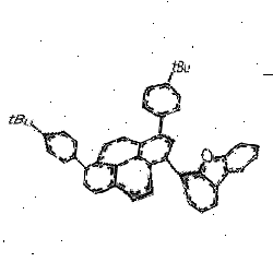 CC(C)(C)c1ccc(-c2ccc3ccc4c(-c5cccc6c5oc5ccccc56)cc(-c5ccc(C(C)(C)C)cc5)c5ccc2c3c54)cc1